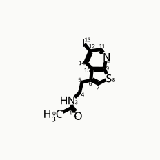 CC(=O)NCCc1csc2ncc(I)cc12